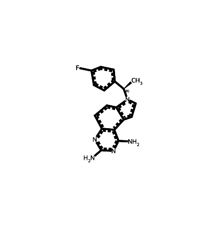 C[C@H](c1ccc(F)cc1)n1ccc2c3c(N)nc(N)nc3ccc21